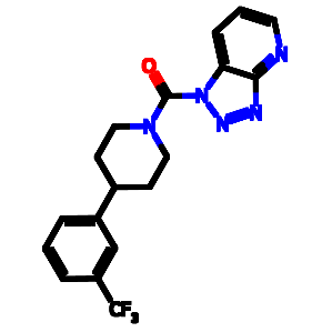 O=C(N1CCC(c2cccc(C(F)(F)F)c2)CC1)n1nnc2ncccc21